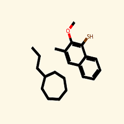 CCCC1CCCCCC1.COc1c(C)cc2ccccc2c1S